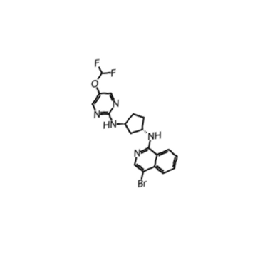 FC(F)Oc1cnc(N[C@H]2CC[C@H](Nc3ncc(Br)c4ccccc34)C2)nc1